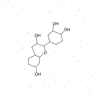 OC1CCC2CC(O)C(C3CCC(O)C(O)C3)OC2C1